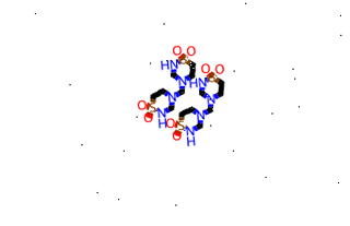 O=S1(=O)CCN(CN2CCS(=O)(=O)NC2)CN1.O=S1(=O)CCN(CN2CCS(=O)(=O)NC2)CN1